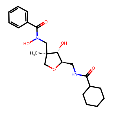 C[C@@]1(CN(O)C(=O)c2ccccc2)CO[C@H](CNC(=O)C2CCCCC2)[C@H]1O